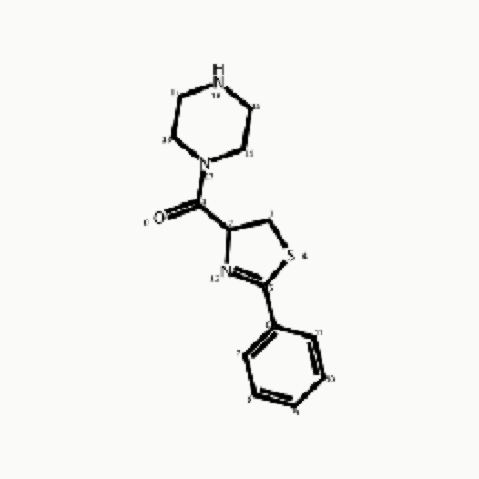 O=C(C1CSC(c2ccccc2)=N1)N1CCNCC1